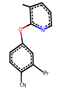 Cc1cccnc1Oc1ccc(C#N)c(C(C)C)c1